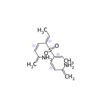 C=C(N)/C=C\C(=C/C)S(=O)(=O)C(/C=C\C(=C)N)=C/C